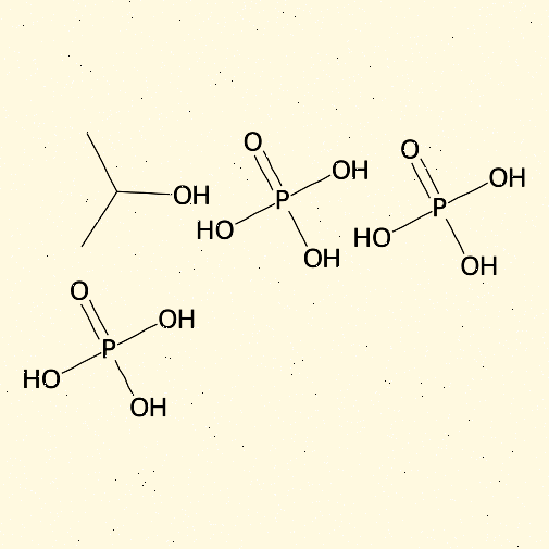 CC(C)O.O=P(O)(O)O.O=P(O)(O)O.O=P(O)(O)O